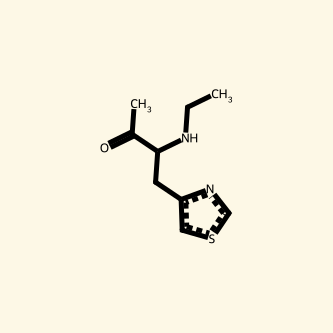 CCNC(Cc1cscn1)C(C)=O